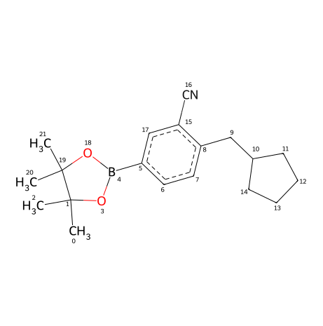 CC1(C)OB(c2ccc(CC3CCCC3)c(C#N)c2)OC1(C)C